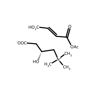 CC(=O)OC(=O)/C=C/C(=O)O.C[N+](C)(C)C[C@H](O)CC(=O)[O-]